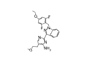 CCOc1cc(F)c(Cn2nc(-c3ncc(CCOC)c(N)n3)c3ccccc32)c(F)c1